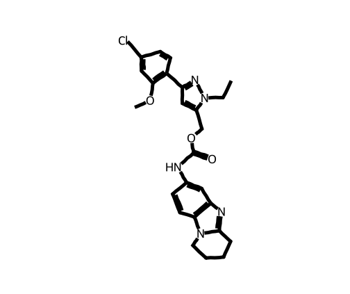 CCn1nc(-c2ccc(Cl)cc2OC)cc1COC(=O)Nc1ccc2c(c1)nc1n2CCCC1